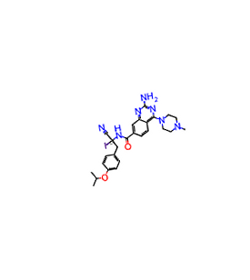 CC(C)Oc1ccc(C[C@](I)(C#N)NC(=O)c2ccc3c(N4CCN(C)CC4)nc(N)nc3c2)cc1